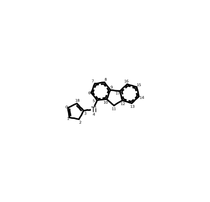 C1=CC[C]([Ti][c]2cccc3c2Cc2ccccc2-3)=C1